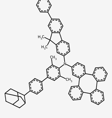 Cc1cc(-c2ccc(C3C4CC5CC(C4)CC3C5)cc2)cc(C)c1N(c1ccc2c(c1)-c1ccccc1-c1ccccc1-c1ccccc1-2)c1ccc2c(c1)C(C)(C)c1cc(-c3ccccc3)ccc1-2